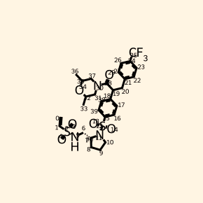 C=CS(=O)(=O)NC[C@H]1CCCN1S(=O)(=O)c1ccc(C(Cc2ccc(C(F)(F)F)cc2)C(=O)N2CC(C)OC(C)C2)cc1